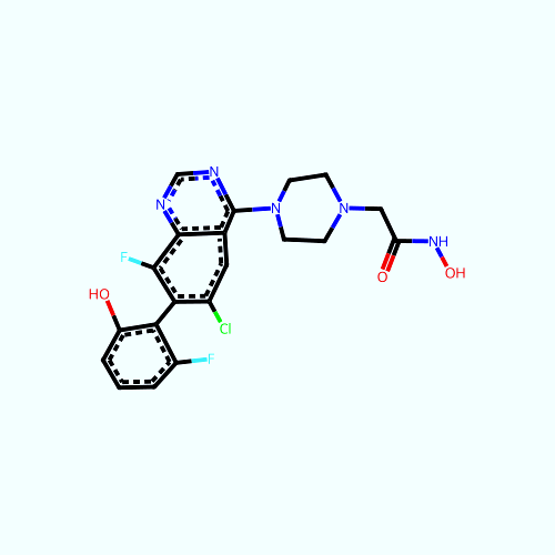 O=C(CN1CCN(c2ncnc3c(F)c(-c4c(O)cccc4F)c(Cl)cc23)CC1)NO